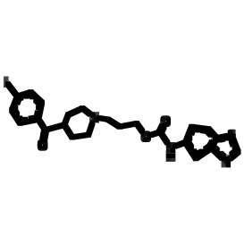 O=C(Nc1ccc2scnc2c1)OCCCN1CCC(C(=O)c2ccc(I)cc2)CC1